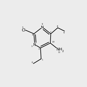 CCc1nc(Cl)nc(CC)c1N